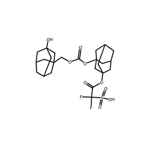 O=C(OCC12CC3CC(CC(O)(C3)C1)C2)OC12CC3CC(C1)CC(OC(=O)C(F)(F)S(=O)(=O)O)(C3)C2